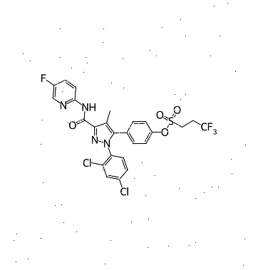 Cc1c(C(=O)Nc2ccc(F)cn2)nn(-c2ccc(Cl)cc2Cl)c1-c1ccc(OS(=O)(=O)CCC(F)(F)F)cc1